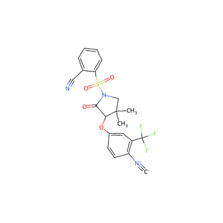 [C-]#[N+]c1ccc(OC2C(=O)N(S(=O)(=O)c3ccccc3C#N)CC2(C)C)cc1C(F)(F)F